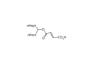 CCCCCCCC(CCCCC)OC(=O)C=CC(=O)O